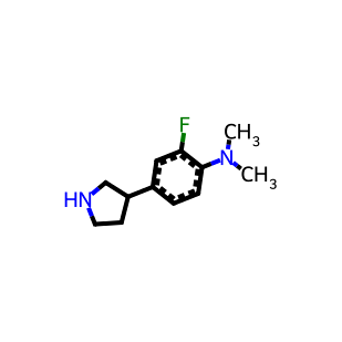 CN(C)c1ccc(C2CCNC2)cc1F